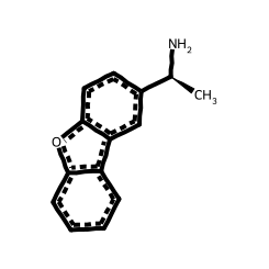 C[C@H](N)c1ccc2oc3ccccc3c2c1